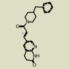 O=C1CCc2cc(/C=C/C(=O)N3CCC(Cc4ccccc4)CC3)cnc2N1